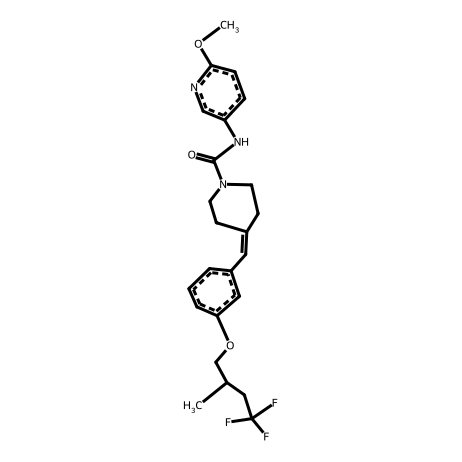 COc1ccc(NC(=O)N2CCC(=Cc3cccc(OCC(C)CC(F)(F)F)c3)CC2)cn1